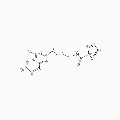 O=C(NCCCOc1cc(F)c2[nH]c(=O)ccc2c1)n1ccnc1